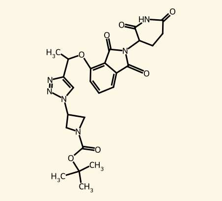 CC(Oc1cccc2c1C(=O)N(C1CCC(=O)NC1=O)C2=O)c1cn(C2CN(C(=O)OC(C)(C)C)C2)nn1